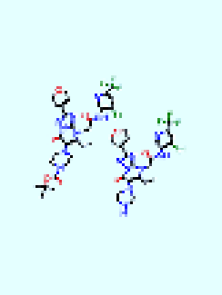 CCc1c(N2CCN(C(=O)OC(C)(C)C)CC2)c(=O)n2nc(C3=CCOCC3)nc2n1CC(=O)Nc1cnc(C(F)(F)F)cc1Cl.CCc1c(N2CCNCC2)c(=O)n2nc(C3=CCOCC3)nc2n1CC(=O)Nc1cnc(C(F)(F)F)cc1Cl